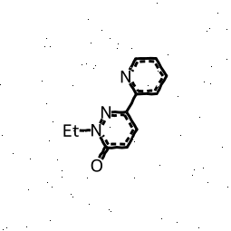 CCn1nc(-c2ccccn2)ccc1=O